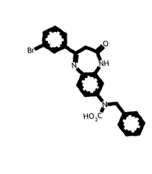 O=C1CC(c2cccc(Br)c2)=Nc2ccc(N(Cc3ccccc3)C(=O)O)cc2N1